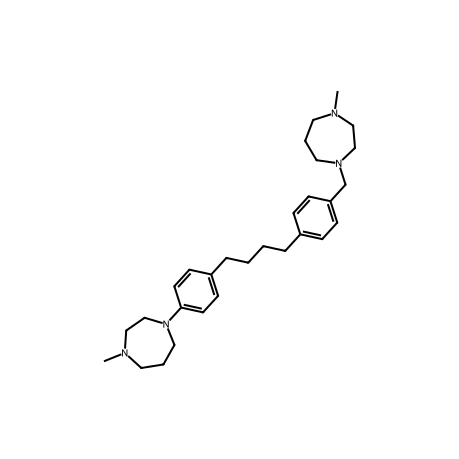 CN1CCCN(Cc2ccc(CCCCc3ccc(N4CCCN(C)CC4)cc3)cc2)CC1